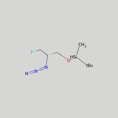 C[SiH](OC[C@@H](CF)N=[N+]=[N-])C(C)(C)C